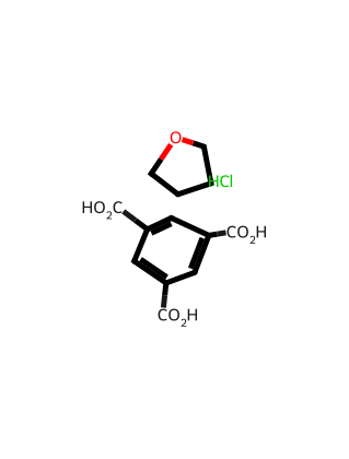 C1CCOC1.Cl.O=C(O)c1cc(C(=O)O)cc(C(=O)O)c1